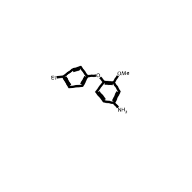 CCc1ccc(Oc2ccc(N)cc2OC)cc1